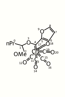 CCCC(OC)O[C](c1ccco1)=[Cr](=[C]=O)(=[C]=O)(=[C]=O)(=[C]=O)=[C]=O